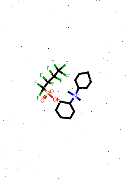 C[N+](C)(C1CCCCC1)C1CCCCC1.O=S(=O)(O)C(F)(F)C(F)(F)C(F)(F)C(F)(F)F